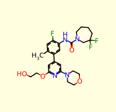 Cc1cc(F)c(NC(=O)N2CCCCC(F)(F)C2)cc1-c1cc(OCCO)nc(N2CCOCC2)c1